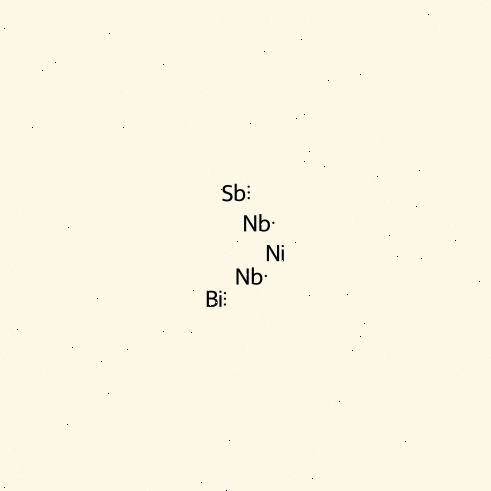 [Bi].[Nb].[Nb].[Ni].[Sb]